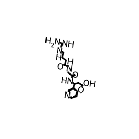 N=C(N)NCCCC(=O)NCC(=O)NC(CC(=O)O)c1cccnc1